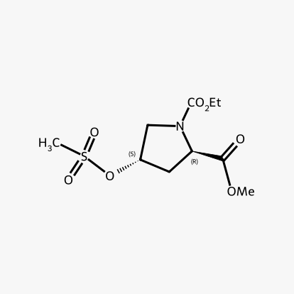 CCOC(=O)N1C[C@@H](OS(C)(=O)=O)C[C@@H]1C(=O)OC